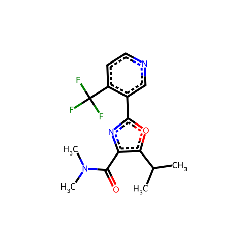 CC(C)c1oc(-c2cnccc2C(F)(F)F)nc1C(=O)N(C)C